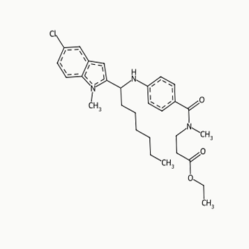 CCCCCCC(Nc1ccc(C(=O)N(C)CCC(=O)OCC)cc1)c1cc2cc(Cl)ccc2n1C